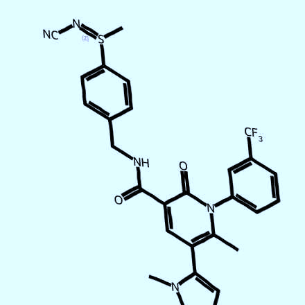 Cc1c(-c2ccnn2C)cc(C(=O)NCc2ccc(/S(C)=N\C#N)cc2)c(=O)n1-c1cccc(C(F)(F)F)c1